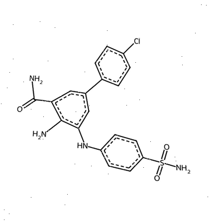 NC(=O)c1cc(-c2ccc(Cl)cc2)cc(Nc2ccc(S(N)(=O)=O)cc2)c1N